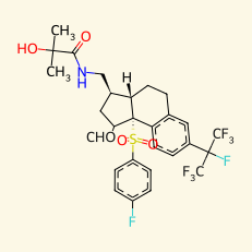 CC(C)(O)C(=O)NC[C@@H]1CC(C=O)[C@]2(S(=O)(=O)c3ccc(F)cc3)c3ccc(C(F)(C(F)(F)F)C(F)(F)F)cc3CC[C@@H]12